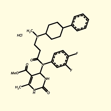 COC(=O)C1=C(C)NC(=O)NC1N(C(=O)CCN(C)C1CCC(c2ccccc2)CC1)c1ccc(F)c(F)c1.Cl